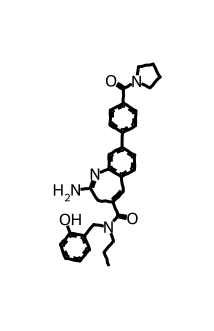 CCCN(Cc1ccccc1O)C(=O)C1=Cc2ccc(-c3ccc(C(=O)N4CCCC4)cc3)cc2N=C(N)C1